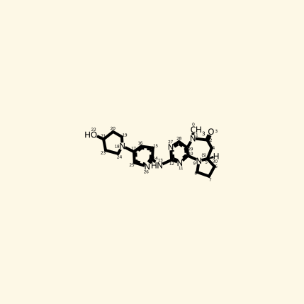 CN1C(=O)C[C@@H]2CCCN2c2nc(Nc3ccc(N4CCC(O)CC4)cn3)ncc21